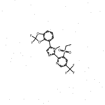 CCS(=O)(=O)c1cc(C(F)(F)F)cnc1-c1ncc(-c2cccc3c2OC(F)(F)O3)n1C